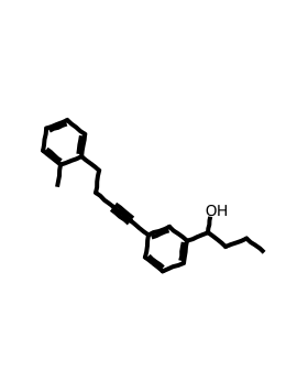 CCCC(O)c1cccc(C#CCCc2ccccc2C)c1